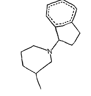 CC1CCCN(C2CCc3ccccc32)C1